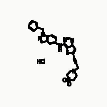 Cl.O=S1(=O)CCN(CC#Cc2cc3ncnc(Nc4ccc5c(cnn5Cc5ccccc5)c4)c3s2)CC1